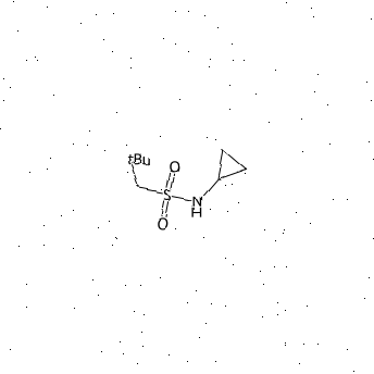 CC(C)(C)CS(=O)(=O)NC1CC1